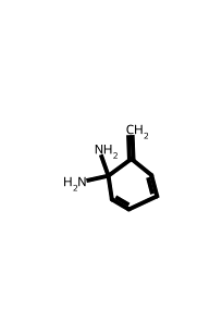 C=C1C=CC=CC1(N)N